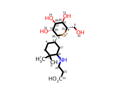 CC1(C)CCC([C@H]2S[C@@H](CO)[C@H](O)[C@H](O)[C@H]2O)CC1NCCC(=O)O